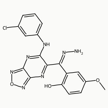 COc1ccc(O)c(C(=NN)c2nc3nonc3nc2Nc2cccc(Cl)c2)c1